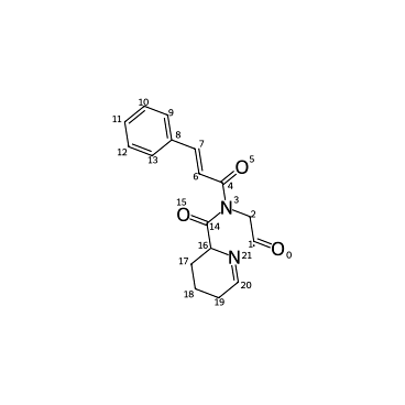 O=[C]CN(C(=O)C=Cc1ccccc1)C(=O)C1CCCC=N1